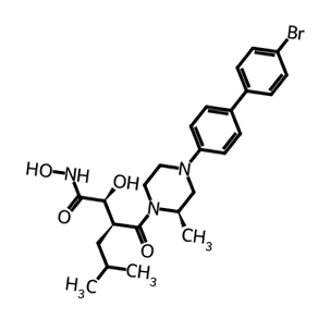 CC(C)C[C@H](C(=O)N1CCN(c2ccc(-c3ccc(Br)cc3)cc2)C[C@H]1C)[C@H](O)C(=O)NO